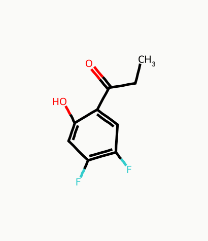 CCC(=O)c1cc(F)c(F)cc1O